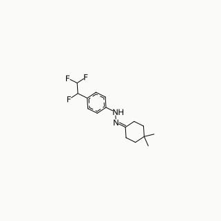 CC1(C)CCC(=NNc2ccc(C(F)C(F)F)cc2)CC1